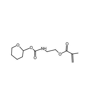 C=C(C)C(=O)OCCNC(=O)OC1CCCCO1